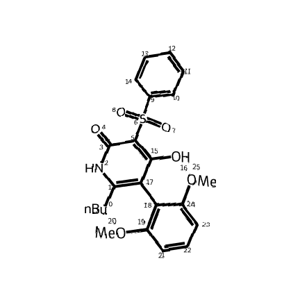 CCCCc1[nH]c(=O)c(S(=O)(=O)c2ccccc2)c(O)c1-c1c(OC)cccc1OC